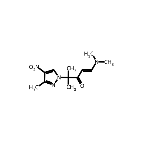 Cc1nn(C(C)(C)C(=O)/C=C/N(C)C)cc1[N+](=O)[O-]